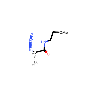 CC[C@@H](C)[C@H](N=[N+]=[N-])C(=O)NCCOC